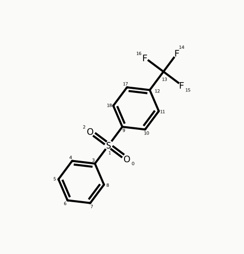 O=S(=O)(c1ccccc1)c1ccc(C(F)(F)F)cc1